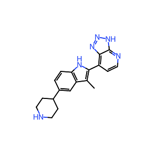 Cc1c(-c2ccnc3[nH]nnc23)[nH]c2ccc(C3CCNCC3)cc12